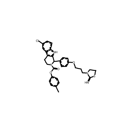 Cc1ccc(OC(=O)N2CCc3c([nH]c4ccc(Cl)cc34)C2c2ccc(OCCCN3CCSC3=N)cc2)cc1